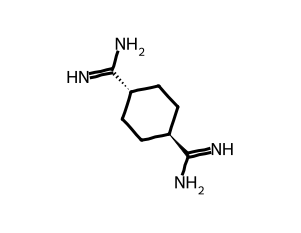 N=C(N)[C@H]1CC[C@H](C(=N)N)CC1